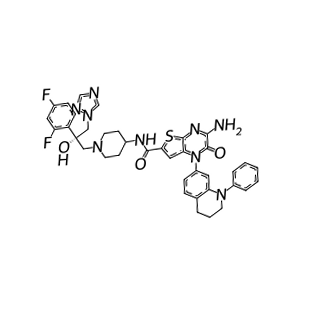 Nc1nc2sc(C(=O)NC3CCN(C[C@](O)(Cn4cncn4)c4ccc(F)cc4F)CC3)cc2n(-c2ccc3c(c2)N(c2ccccc2)CCC3)c1=O